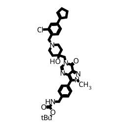 Cn1nc2c(=O)n(CC3(O)CCN(Cc4ccc(C5=CCCC5)cc4Cl)CC3)cnc2c1-c1ccc(CNC(=O)OC(C)(C)C)cc1